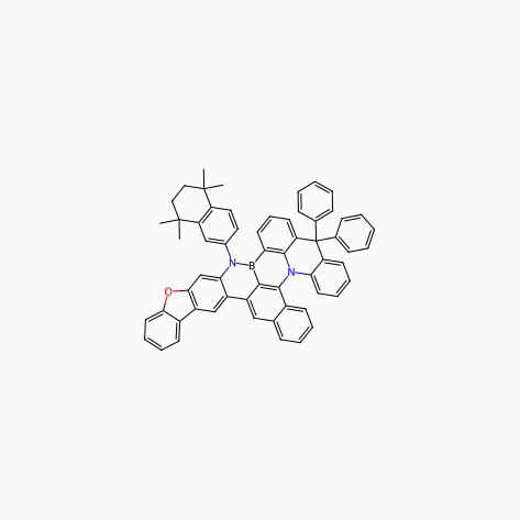 CC1(C)CCC(C)(C)c2cc(N3B4c5cccc6c5N(c5ccccc5C6(c5ccccc5)c5ccccc5)c5c4c(cc4ccccc54)-c4cc5c(cc43)oc3ccccc35)ccc21